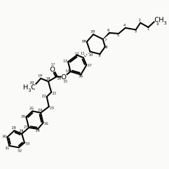 CCCCCCC[C@H]1CC[C@H](c2ccc(OC(=O)C(CC)CCCc3ccc(-c4ccccc4)cc3)cc2)CC1